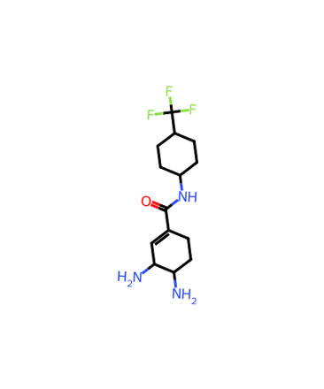 NC1C=C(C(=O)NC2CCC(C(F)(F)F)CC2)CCC1N